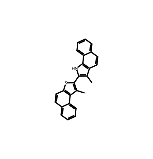 Cc1c(-c2sc3ccc4ccccc4c3c2C)[nH]c2c1ccc1ccccc12